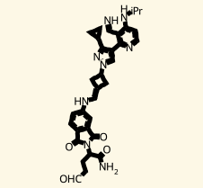 CC(C)Nc1ccnc(-c2cn(C3CC(=CNc4ccc5c(c4)C(=O)N(C(CCC=O)C(N)=O)C5=O)C3)nc2C2CC2)c1C=N